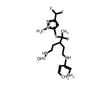 C/C=C\C(=C/N)NCCC(CCNC=O)C(C)(F)Sc1cc(C(F)F)nn1C